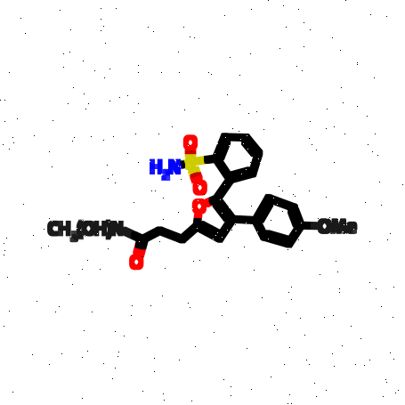 COc1ccc(-c2cc(CCC(=O)N(C)O)oc2-c2ccccc2S(N)(=O)=O)cc1